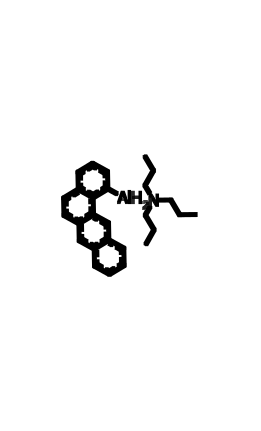 CCCN(CCC)CCC.[AlH2][c]1cccc2ccc3cc4ccccc4cc3c12